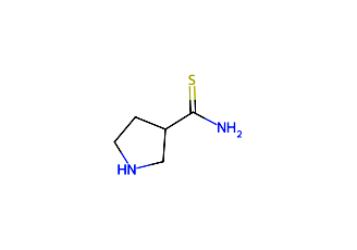 NC(=S)C1CCNC1